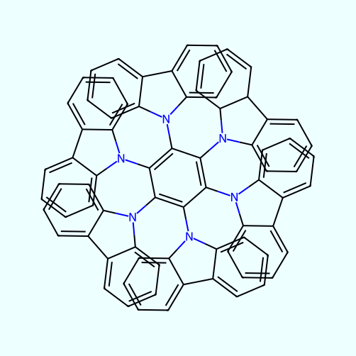 C1=CC2c3ccccc3N(c3c(-n4c5ccccc5c5ccccc54)c(-n4c5ccccc5c5ccccc54)c(-n4c5ccccc5c5ccccc54)c(-n4c5ccccc5c5ccccc54)c3-n3c4ccccc4c4ccccc43)C2C=C1